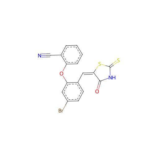 N#Cc1ccccc1Oc1cc(Br)ccc1/C=C1/SC(=S)NC1=O